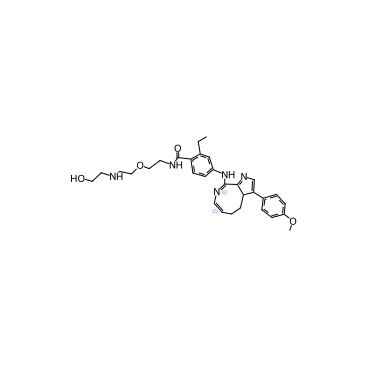 CCc1cc(N/C2=N/C=C\CCC3C(c4ccc(OC)cc4)=CN=C23)ccc1C(=O)NCCOCCNCCO